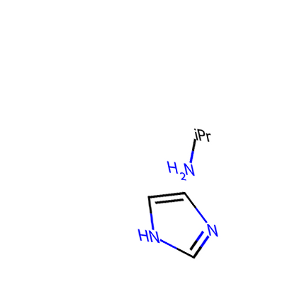 CC(C)N.c1c[nH]cn1